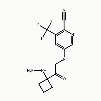 N#Cc1ncc(NCC(=O)C2(NP)CCC2)cc1C(F)(F)F